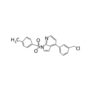 Cc1ccc(S(=O)(=O)n2ccc3c(-c4cccc(CCl)c4)ccnc32)cc1